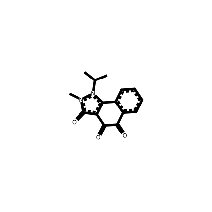 CC(C)n1c2c(c(=O)n1C)C(=O)C(=O)c1ccccc1-2